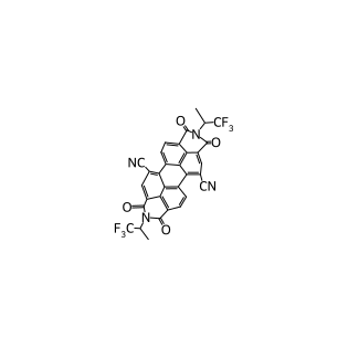 CC(N1C(=O)c2ccc3c4c(C#N)cc5c6c(ccc(c7c(C#N)cc(c2c37)C1=O)c64)C(=O)N(C(C)C(F)(F)F)C5=O)C(F)(F)F